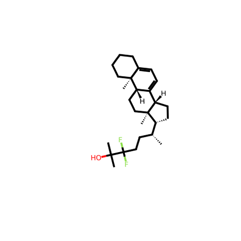 C[C@H](CCC(F)(F)C(C)(C)O)[C@H]1CC[C@H]2C3=CC=C4CCCC[C@]4(C)[C@H]3CC[C@]12C